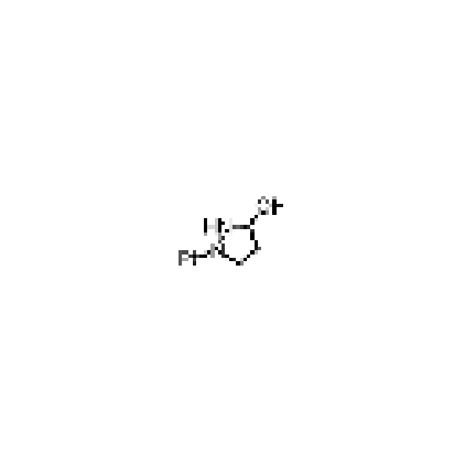 CCN1CCC(O)N1